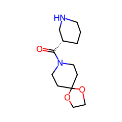 O=C([C@H]1CCCNC1)N1CCC2(CC1)OCCO2